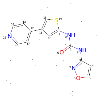 O=C(Nc1ccon1)Nc1cc(-c2ccncc2)cs1